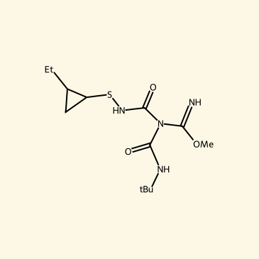 CCC1CC1SNC(=O)N(C(=N)OC)C(=O)NC(C)(C)C